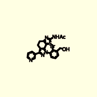 CC(=O)Nc1nc2c(s1)-c1c(c(-c3cccnc3)nn1-c1cccc(CO)c1Br)CC2